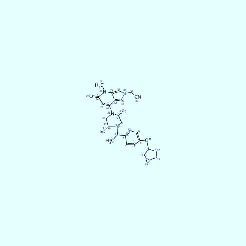 CC[C@H]1CN(C(C)c2ccc(OC3CCOC3)cc2)[C@H](CC)CN1c1cc(=O)n(C)c2cn(CC#N)nc12